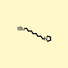 CC(C)(C)CCCCCCCCN1CCCC1